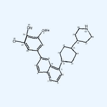 COc1cc(-c2ccc3nccc(N4CCC(C5CCNCC5)CC4)c3c2)cc(Cl)c1O